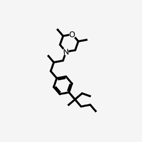 CCCC(C)(CC)c1ccc(CC(C)CN2CC(C)OC(C)C2)cc1